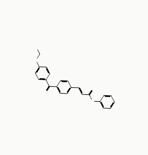 O=C(/C=C/c1ccc(C(=O)c2ccc(OCO)cc2)cc1)Oc1ccccc1